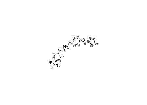 FC(F)(F)c1ccc(CON=CCc2ccc(OCC3CCCC3)cc2)cc1